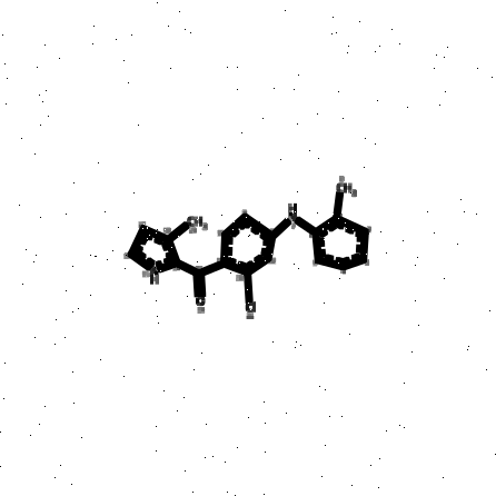 Cc1ccccc1Nc1ccc(C(=O)c2[nH]ccc2C)c(Cl)c1